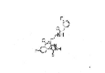 O=C(Cc1cccc(F)c1)NCCCn1c(=O)c2cc(F)ccc2n2c(=S)[nH]nc12